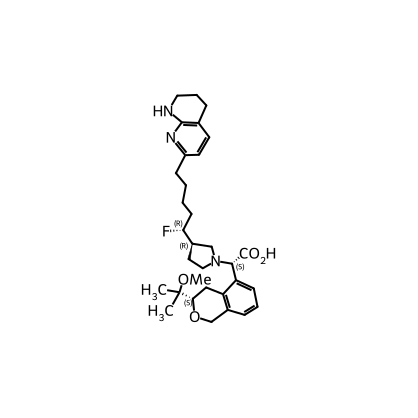 COC(C)(C)[C@@H]1Cc2c(cccc2[C@@H](C(=O)O)N2CC[C@@H]([C@H](F)CCCCc3ccc4c(n3)NCCC4)C2)CO1